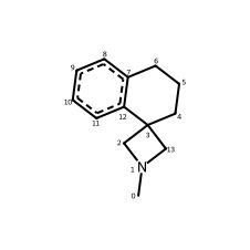 CN1CC2(CCCc3ccccc32)C1